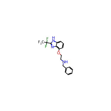 FC(F)(F)C(F)(F)c1nc2c(OCCNCc3ccccc3)cccc2[nH]1